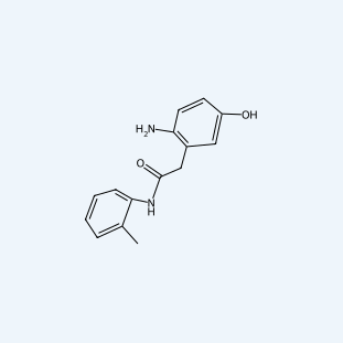 Cc1ccccc1NC(=O)Cc1cc(O)ccc1N